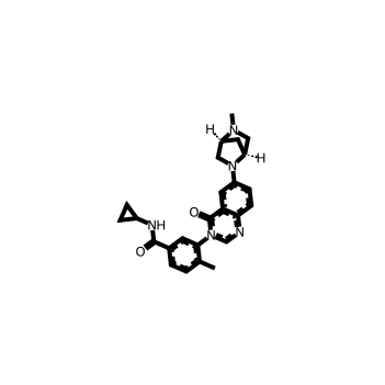 Cc1ccc(C(=O)NC2CC2)cc1-n1cnc2ccc(N3C[C@@H]4C[C@H]3CN4C)cc2c1=O